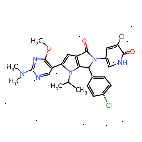 COc1nc(N(C)C)ncc1-c1cc2c(n1C(C)C)C(c1ccc(Cl)cc1)N(c1c[nH]c(=O)c(Cl)c1)C2=O